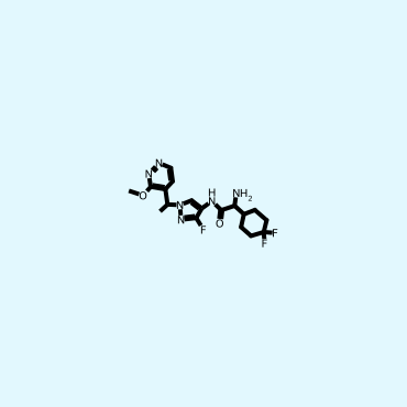 COc1nnccc1C(C)n1cc(NC(=O)C(N)C2CCC(F)(F)CC2)c(F)n1